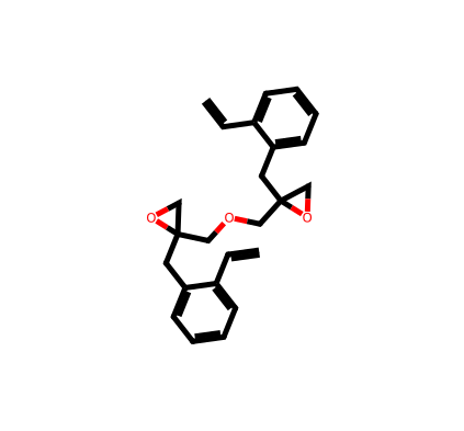 C=Cc1ccccc1CC1(COCC2(Cc3ccccc3C=C)CO2)CO1